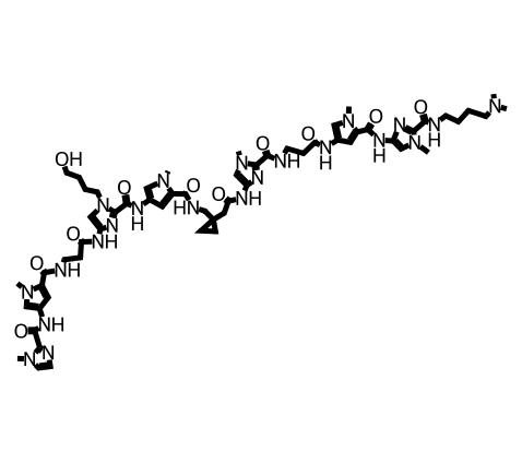 CN(C)CCCCNC(=O)c1nc(NC(=O)c2cc(NC(=O)CCNC(=O)c3nc(NC(=O)CC4(CNC(=O)c5cc(NC(=O)c6nc(NC(=O)CCNC(=O)c7cc(NC(=O)c8nccn8C)cn7C)cn6CCCCO)cn5C)CC4)cn3C)cn2C)cn1C